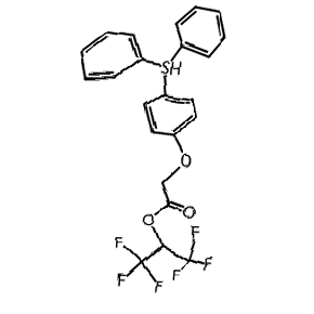 O=C(COc1ccc([SH](c2ccccc2)c2ccccc2)cc1)OC(C(F)(F)F)C(F)(F)F